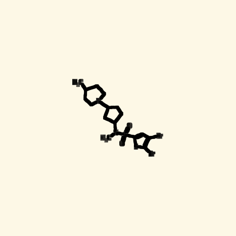 CC1CCN(C2CCC(N(C)S(=O)(=O)c3cc(Br)c(Br)s3)C2)CC1